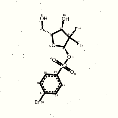 O=S(=O)(O[C@H]1O[C@H](CO)[C@@H](O)C1(F)F)c1ccc(Br)cc1